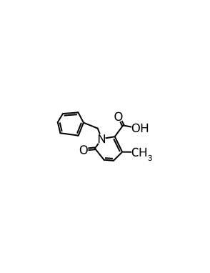 Cc1ccc(=O)n(Cc2ccccc2)c1C(=O)O